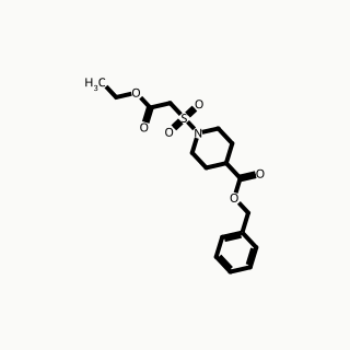 CCOC(=O)CS(=O)(=O)N1CCC(C(=O)OCc2ccccc2)CC1